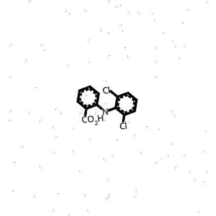 O=C(O)c1ccccc1[N]c1c(Cl)cccc1Cl